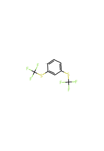 FC(F)(F)Sc1[c]ccc(SC(F)(F)F)c1